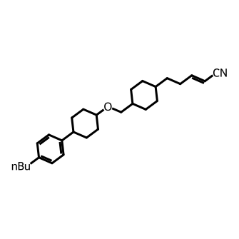 CCCCc1ccc(C2CCC(OCC3CCC(CCC=CC#N)CC3)CC2)cc1